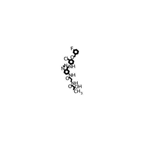 CC=C(O)C(=O)NCCC(=O)Nc1ccc2ncnc(Nc3ccc(OCc4cccc(F)c4)c(Cl)c3)c2c1